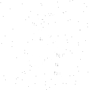 COC[C@@H]1CCCN1c1ccnc(Oc2ccc(Nc3cc(-c4ccccc4)cc(N)n3)cc2)c1